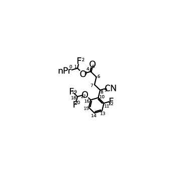 CCCC(F)OC(=O)CCC(C#N)c1c(F)cccc1OC(F)F